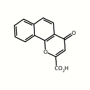 O=C(O)c1cc(=O)c2ccc3ccccc3c2o1